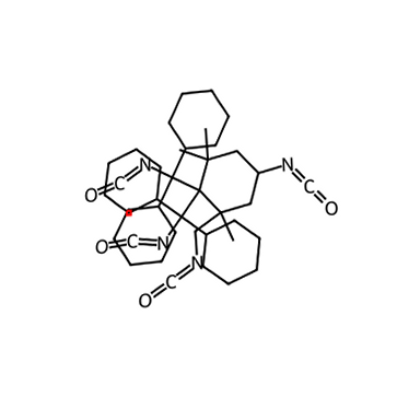 CC1(C)CC(N=C=O)CC(C)(CN=C=O)C1(C(N=C=O)(C1CCCCC1)C1CCCCC1)C(N=C=O)(C1CCCCC1)C1CCCCC1